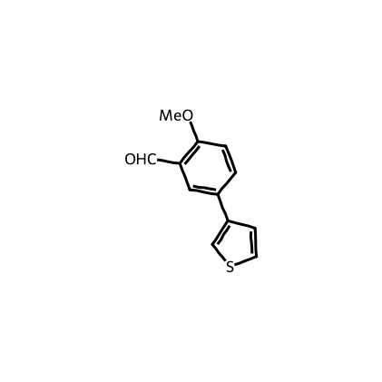 COc1ccc(-c2ccsc2)cc1C=O